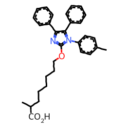 Cc1ccc(-n2c(OCCCCCCC(C)C(=O)O)nc(-c3ccccc3)c2-c2ccccc2)cc1